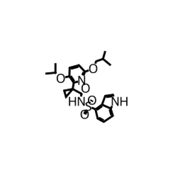 CC(C)COc1ccc(OC(C)C)c(C2(C(=O)NS(=O)(=O)c3cccc4[nH]ccc34)CC2)n1